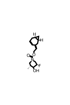 C[C@@H]1CN(C(=O)OC/C=C2\C=CC[C@H]3C[C@@H]3C2)C[C@H](F)C1O